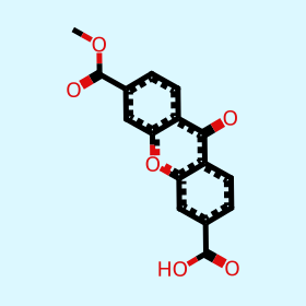 COC(=O)c1ccc2c(=O)c3ccc(C(=O)O)cc3oc2c1